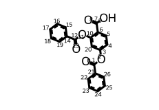 O=C(Oc1ccc(C(=O)O)c(OC(=O)c2ccccc2)c1)c1ccccc1